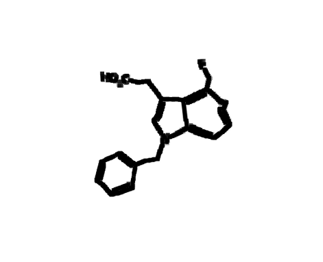 O=C(O)Cc1cn(Cc2ccccc2)c2cccc(F)c12